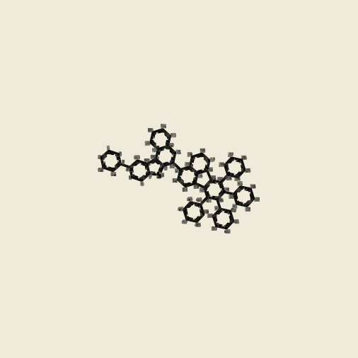 c1ccc(-c2ccc3sc4c(-c5ccc6c7c(cccc57)-c5c(-c7ccccc7)c(-c7ccccc7)c(-c7ccccc7)c(-c7ccccc7)c5-6)cc5ccccc5c4c3c2)cc1